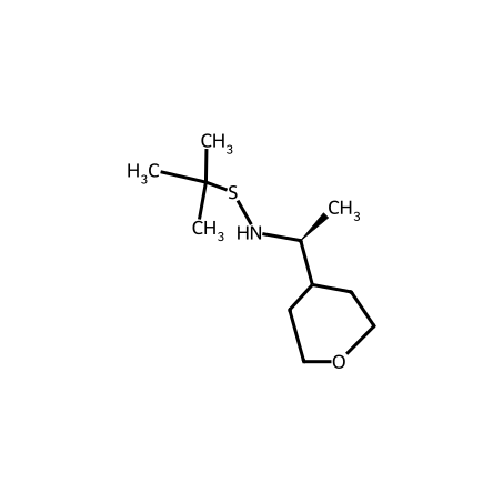 C[C@H](NSC(C)(C)C)C1CCOCC1